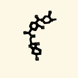 CN1CCN(C(=O)c2ccc(C(=O)NCc3nc4cc(Cl)ccc4[nH]3)cc2Cl)CC1=O